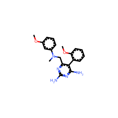 COc1cccc(N(C)Cc2nc(N)nc(N)c2-c2ccccc2OC)c1